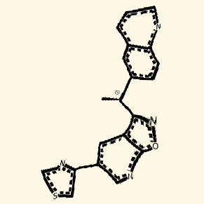 C[C@@H](c1ccc2ncccc2c1)c1noc2ncc(-c3cscn3)cc12